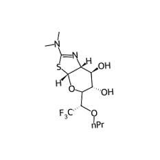 CCCO[C@@H](C1O[C@@H]2SC(N(C)C)=N[C@@H]2[C@@H](O)[C@@H]1O)C(F)(F)F